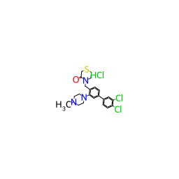 CN1CCN(c2cc(-c3ccc(Cl)c(Cl)c3)ccc2CN2CCSCC2=O)CC1.Cl